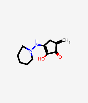 C=C1CC(NN2CCCCC2)=C(O)C1=O